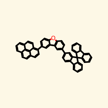 c1ccc2c(c1)-c1ccccc1C21c2ccccc2-c2ccc(-c3ccc4oc5ccc(-c6ccc7ccc8cccc9ccc6c7c89)cc5c4c3)cc21